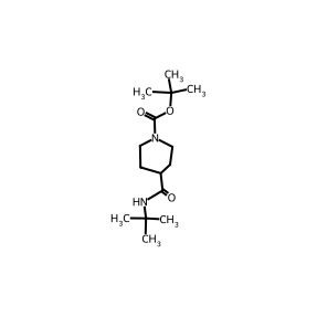 CC(C)(C)NC(=O)C1CCN(C(=O)OC(C)(C)C)CC1